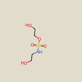 O=S(=O)(NCCO)OCCO